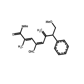 C=C(/C=C(C=O)\C=C(/C)C(=O)NC)C(COC)c1ccccc1